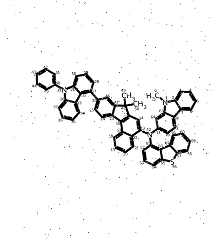 Cn1c2ccccc2c2ccc(N(c3cc4c(c5ccccc35)-c3ccc(-c5cccc6c5c5ccccc5n6-c5ccccc5)cc3C4(C)C)c3cccc4sc5ccccc5c34)cc21